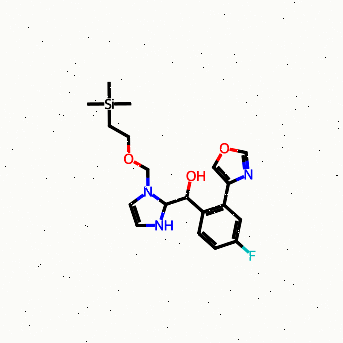 C[Si](C)(C)CCOCN1C=CNC1C(O)c1ccc(F)cc1-c1cocn1